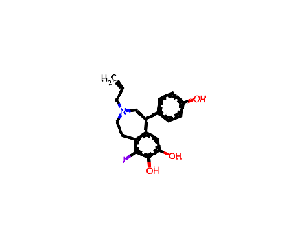 C=CCN1CCc2c(cc(O)c(O)c2I)C(c2ccc(O)cc2)C1